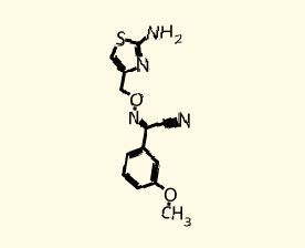 COc1cccc(C(C#N)=NOCc2csc(N)n2)c1